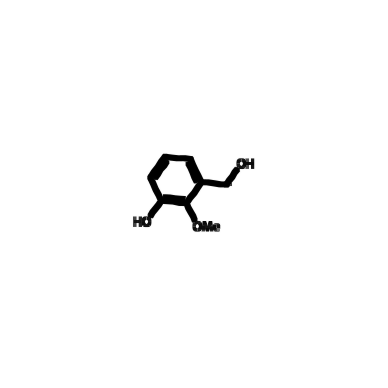 COc1c(O)cccc1[CH]O